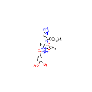 CC(C)(O/N=C(\C(=O)O)c1csc(N)n1)C(=O)NNC(=O)c1ccc(O)c(O)c1